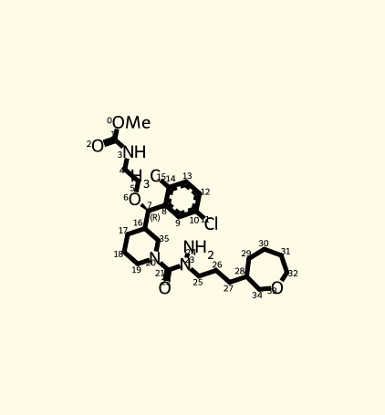 COC(=O)NCCO[C@@H](c1cc(Cl)ccc1C)C1CCCN(C(=O)N(N)CCCC2CCCCOC2)C1